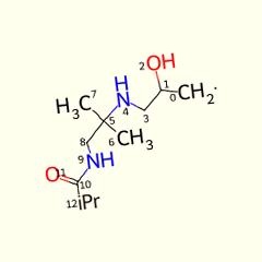 [CH2]C(O)CNC(C)(C)CNC(=O)C(C)C